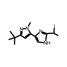 CC(I)c1nc(-c2cc(C(C)(C)C)nn2C)c[nH]1